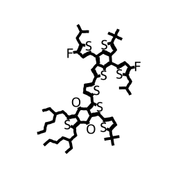 CCCCC(CC)Cc1sc(CC(CC)CCCC)c2c1C(=O)c1c(-c3ccc(-c4cc5c(-c6cc(F)c(CC(C)C)s6)c6sc(C(C)(C)C)cc6c(-c6cc(F)c(CC(C)C)s6)c5s4)s3)sc(-c3ccc(C(C)(C)C)s3)c1C2=O